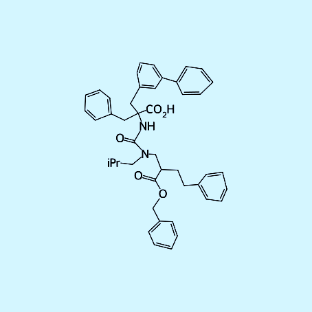 CC(C)CN(CC(CCc1ccccc1)C(=O)OCc1ccccc1)C(=O)NC(Cc1ccccc1)(Cc1cccc(-c2ccccc2)c1)C(=O)O